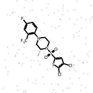 C[C@@H]1CN(c2ccc(F)cc2C(F)(F)F)CCN1S(=O)(=O)c1cc(Cl)c(Cl)s1